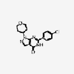 O=c1[nH]c(-c2ccc(Cl)cc2)nc2c1cnn2C1CCOCC1